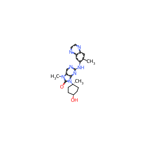 Cc1cc2nccnc2cc1Nc1ncc2c(n1)n([C@]1(C)CC[C@H](O)CC1)c(=O)n2C